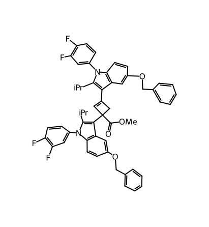 COC(=O)C1(c2c(C(C)C)n(-c3ccc(F)c(F)c3)c3ccc(OCc4ccccc4)cc23)C=C(c2c(C(C)C)n(-c3ccc(F)c(F)c3)c3ccc(OCc4ccccc4)cc23)C1